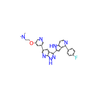 CN(C)CCOc1cncc(-c2cnc3[nH]nc(-c4cc5c(-c6ccc(F)cc6)nccc5[nH]4)c3c2)c1